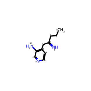 CCCC(=N)Cc1ccncc1N